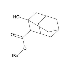 CC(C)(C)OC(=O)C1C2CC3CC(C2)CC1(O)C3